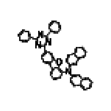 c1ccc(-c2nc(-c3ccccc3)nc(-c3ccc4c(c3)oc3c(N(c5ccc6ccccc6c5)c5ccc6ccccc6c5)cccc34)n2)cc1